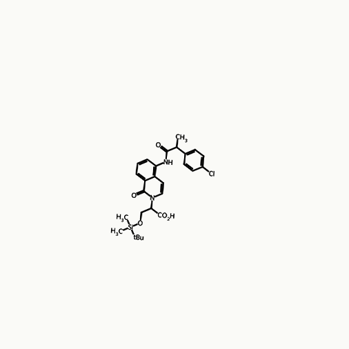 CC(C(=O)Nc1cccc2c(=O)n(C(CO[Si](C)(C)C(C)(C)C)C(=O)O)ccc12)c1ccc(Cl)cc1